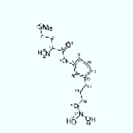 CSCCC(N)C(=O)Oc1cccc(CCCON(O)O)c1